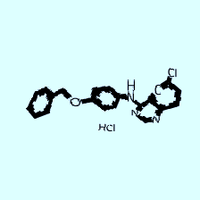 Cl.Clc1ccc2ncnc(Nc3ccc(OCc4ccccc4)cc3)c2c1